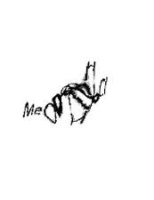 COc1ccc(C(=O)C=C2Nc3ccc(Cl)cc3NC2=O)cc1